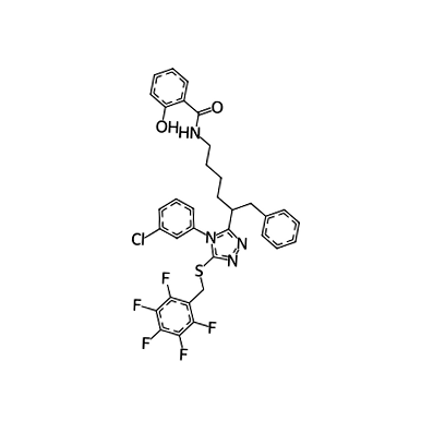 O=C(NCCCCC(Cc1ccccc1)c1nnc(SCc2c(F)c(F)c(F)c(F)c2F)n1-c1cccc(Cl)c1)c1ccccc1O